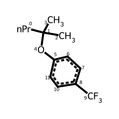 [CH2]CCC(C)(C)Oc1ccc(C(F)(F)F)cc1